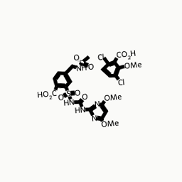 COc1c(Cl)ccc(Cl)c1C(=O)O.COc1cc(OC)nc(NC(=O)NS(=O)(=O)c2cc(CNS(C)(=O)=O)ccc2C(=O)O)n1